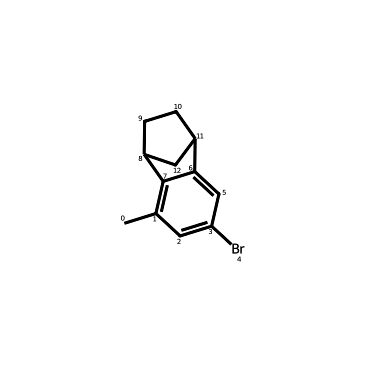 Cc1cc(Br)cc2c1C1CCC2C1